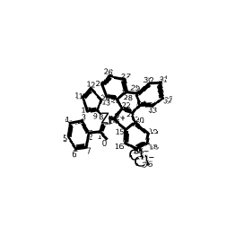 C/[C](c1ccccc1)=[Zr+2](/[C]1=CC=CC1)[CH]1c2ccccc2-c2c1c1ccccc1c1ccccc21.[Cl-].[Cl-]